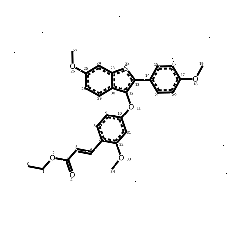 CCOC(=O)/C=C/c1ccc(Oc2c(-c3ccc(OC)cc3)sc3cc(OC)ccc23)cc1OC